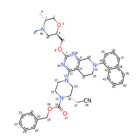 C[C@@H]1CO[C@@H](COc2nc3c(c(N4CCN(C(=O)OCc5ccccc5)[C@@H](CC#N)C4)n2)CCN(c2cccc4ccccc24)C3)CN1C